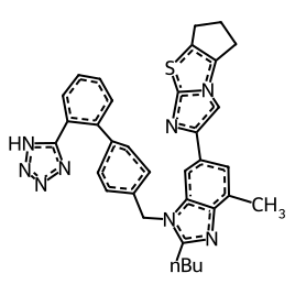 CCCCc1nc2c(C)cc(-c3cn4c5c(sc4n3)CCC5)cc2n1Cc1ccc(-c2ccccc2-c2nnn[nH]2)cc1